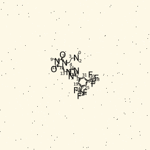 CN(C)CCN1C(=O)N(C)C(=O)/C1=C/n1cnc(-c2cc(C(F)(F)F)cc(C(F)(F)F)c2)n1